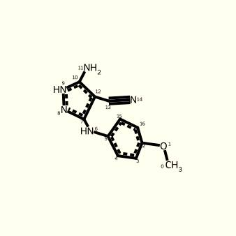 COc1ccc(Nc2n[nH]c(N)c2C#N)cc1